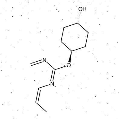 C=N/C(=N\C=C/C)O[C@H]1CC[C@H](O)CC1